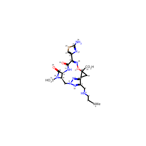 CNCCNCc1cnn(C[C@@H]2[C@H](NC(=O)C(=NOC3(C(=O)O)CC3)c3csc(N)n3)C(=O)N2S(=O)(=O)O)n1